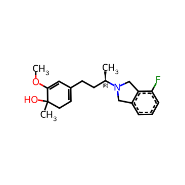 COC1=CC(CC[C@@H](C)N2Cc3cccc(F)c3C2)=CCC1(C)O